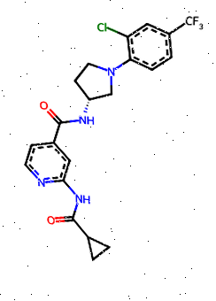 O=C(N[C@@H]1CCN(c2ccc(C(F)(F)F)cc2Cl)C1)c1ccnc(NC(=O)C2CC2)c1